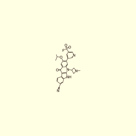 CC(C)Oc1cc2c(=O)c3c4ccc(C#N)cc4[nH]c3n(C3CN(C)C3)c2cc1-c1cncc(S(=O)(=O)F)c1